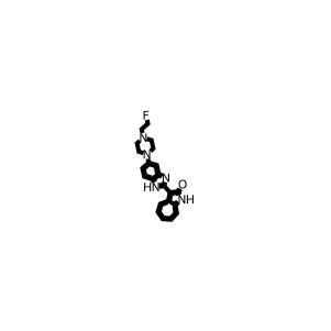 O=c1[nH]c2cccccc-2c1-c1nc2cc(N3CCN(CCF)CC3)ccc2[nH]1